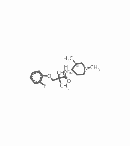 C[C@H]1CN(C)CC[C@@H]1NC(=O)C(C)(C)COc1ccccc1F